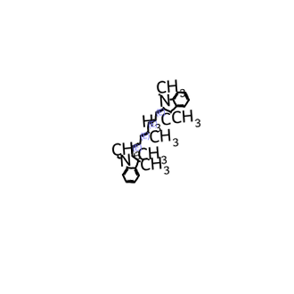 CCN1/C(=C/C=C/C(C)=C/C=C/C2=[N+](CC)c3ccccc3C2(C)C)C(C)(C)c2ccccc21